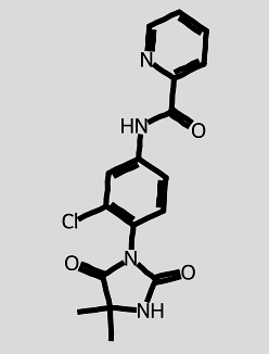 CC1(C)NC(=O)N(c2ccc(NC(=O)c3ccccn3)cc2Cl)C1=O